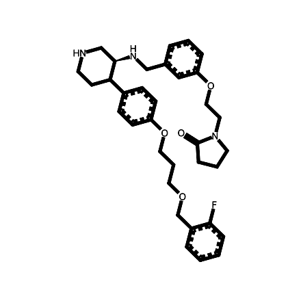 O=C1CCCN1CCOc1cccc(CN[C@@H]2CNCCC2c2ccc(OCCCOCc3ccccc3F)cc2)c1